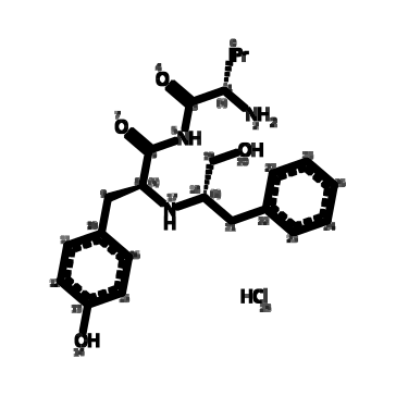 CC(C)[C@H](N)C(=O)NC(=O)[C@H](Cc1ccc(O)cc1)N[C@H](CO)Cc1ccccc1.Cl